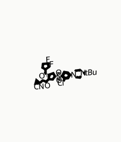 CC(C)(C)N1CCN(c2ccc(S(=O)(=O)[C@@H]3CC(C(=O)CC4(C#N)CC4)[C@H](C(=O)C4CCC(F)(F)C4)C3)c(Cl)c2)CC1